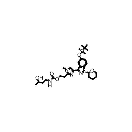 CC(O)CCNC(=O)OCCc1nc(-c2nn(C3CCCCO3)c3ccc(O[Si](C)(C)C(C)(C)C)cc23)cn1C